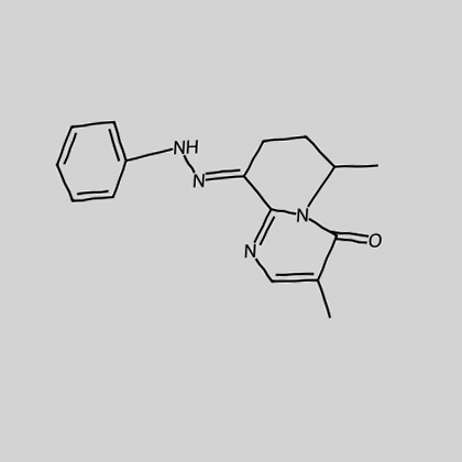 Cc1cnc2n(c1=O)C(C)CC/C2=N\Nc1ccccc1